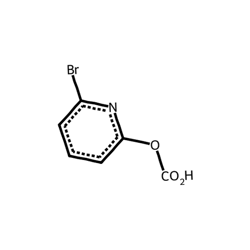 O=C(O)Oc1cccc(Br)n1